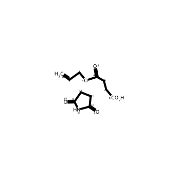 C=CCOC(=O)CCC(=O)O.O=C1CCC(=O)N1